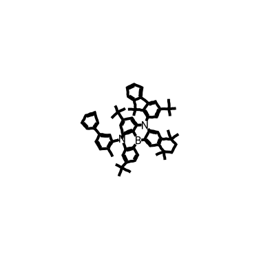 Cc1ccc(-c2ccccc2)cc1N1c2cc(C(C)(C)C)ccc2B2c3cc4c(cc3N(c3cc(C(C)(C)C)cc5c3C(C)(C)c3ccccc3-5)c3cc(C(C)(C)C)cc1c32)C(C)(C)CCC4(C)C